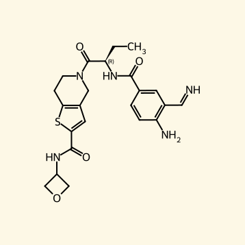 CC[C@@H](NC(=O)c1ccc(N)c(C=N)c1)C(=O)N1CCc2sc(C(=O)NC3COC3)cc2C1